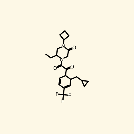 CCC1CN(C2CCC2)C(=O)CN1C(=O)C(=O)C1C=CC(C(F)(F)F)=CC1CC1CC1